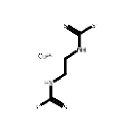 S=C([S-])NCCNC(=S)[S-].[Cu+2]